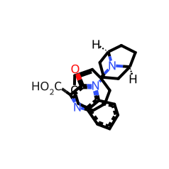 O=C(O)c1nc2ccccc2n([C@H]2C[C@H]3CC[C@@H](C2)N3C2/C=C\CCCCC2)c1=O